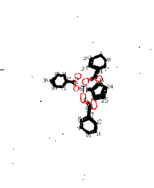 O=C([O][Ti]([O]C(=O)C1CCCCC1)([O]C(=O)C1CCCCC1)[C]1=CC=CC1)C1CCCCC1